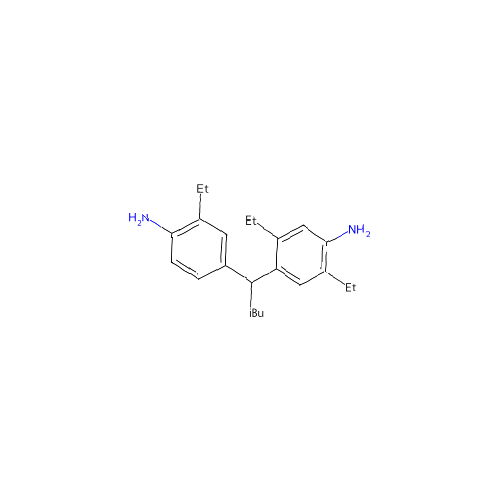 CCc1cc(C(c2cc(CC)c(N)cc2CC)C(C)CC)ccc1N